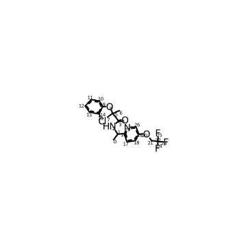 CC(NC(=O)C(C)(C)Oc1ccccc1Cl)c1ccc(OCC(F)(F)F)cn1